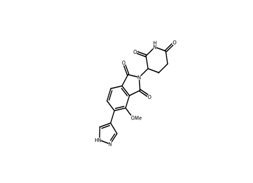 COc1c(-c2cn[nH]c2)ccc2c1C(=O)N(C1CCC(=O)NC1=O)C2=O